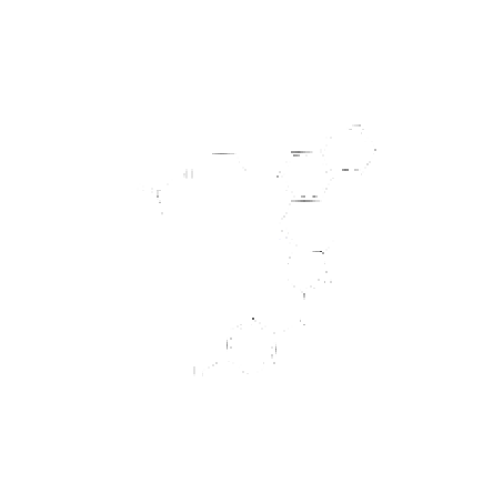 CC(=O)O.CCOc1cc2ccccc2cc1/C=C1/SC(Nc2cc[c]([Na])cc2)=NC1=O